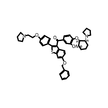 COc1cc(C(=O)c2c(-c3ccc(OCCN4CCCC4)cc3)sc3cc(OCc4ccccc4)ccc23)ccc1O[C@@H]1CCCC[C@H]1N1CCCC1